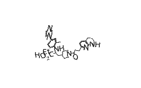 CCc1cc(-n2ccnc2)cc(C)c1NC(CC1CCN(C(=O)CCc2ccc3c(n2)NCCC3)CC1)C(=O)O